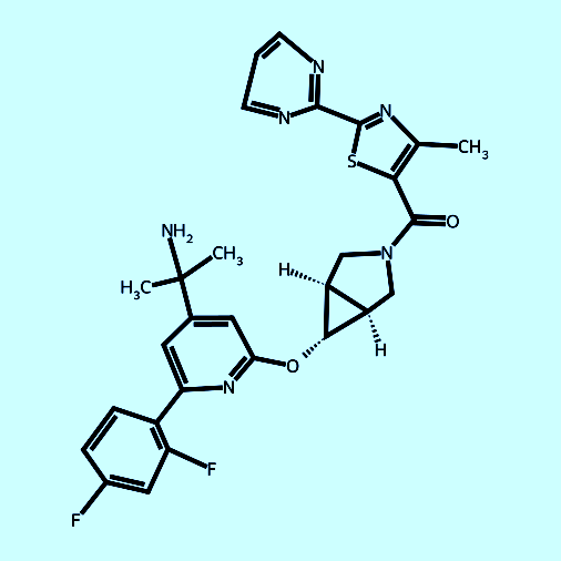 Cc1nc(-c2ncccn2)sc1C(=O)N1C[C@@H]2[C@H](C1)[C@H]2Oc1cc(C(C)(C)N)cc(-c2ccc(F)cc2F)n1